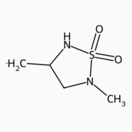 [CH2]C1CN(C)S(=O)(=O)N1